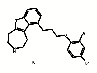 Brc1ccc(OCCCc2cccc3[nH]c4c(c23)CCNCC4)c(Br)c1.Cl